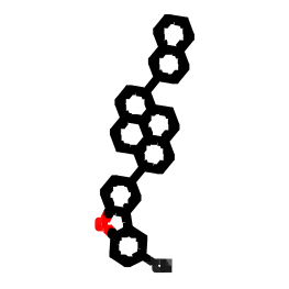 N#Cc1ccc2oc3ccc(-c4ccc5ccc6c(-c7ccc8ccccc8c7)ccc7ccc4c5c76)cc3c2c1